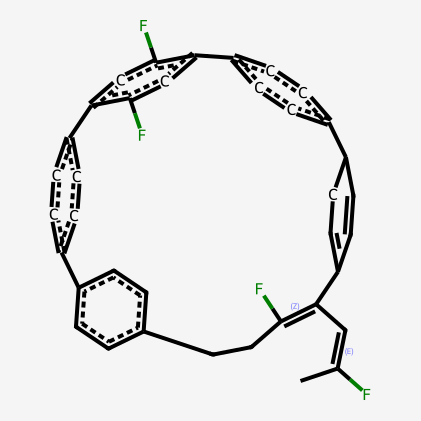 C/C(F)=C\C1=C(\F)CCc2ccc(cc2)-c2ccc(cc2)-c2cc(F)c(cc2F)-c2ccc(cc2)C2C=CC1=CC2